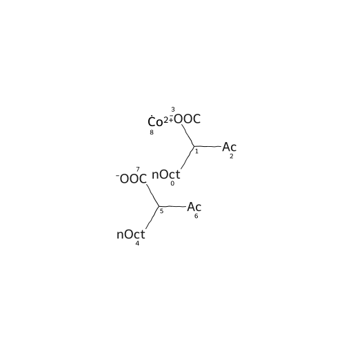 CCCCCCCCC(C(C)=O)C(=O)[O-].CCCCCCCCC(C(C)=O)C(=O)[O-].[Co+2]